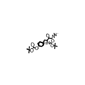 CC(C)(C)OC(=O)NC(Cc1ccc(OC(=O)OC(C)(C)C)cc1)C(=O)C=[N+]=[N-]